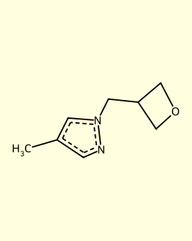 Cc1cnn(CC2COC2)c1